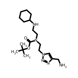 CC(C)(C)OC(=O)N(CCNC1CCCCC1)CCn1cc(CN)nn1